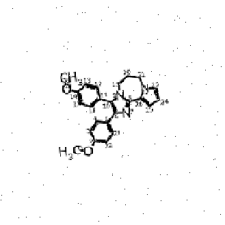 COc1ccc(-c2nc3n(c2-c2ccc(OC)cc2)CCCn2cccc2-3)cc1